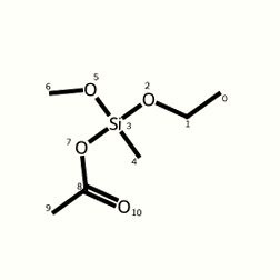 CCO[Si](C)(OC)OC(C)=O